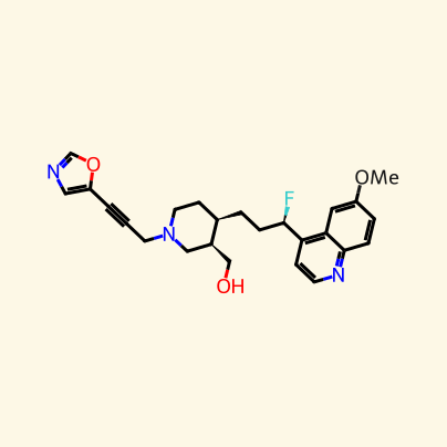 COc1ccc2nccc([C@H](F)CC[C@@H]3CCN(CC#Cc4cnco4)C[C@@H]3CO)c2c1